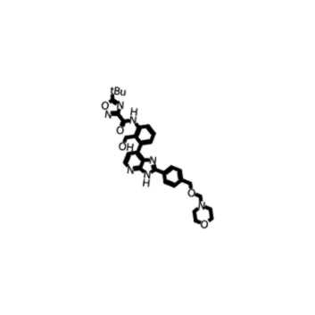 CC(C)(C)c1nc(C(=O)Nc2cccc(-c3ccnc4[nH]c(-c5ccc(COCN6CCOCC6)cc5)nc34)c2CO)no1